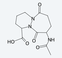 CC(=O)NC1CCC(=O)N2CCCC(C(=O)O)N2C1=O